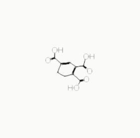 O=C(O)C1=CC(C(=O)O)=C(C(=O)O)CC1